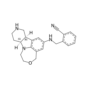 N#Cc1ccccc1CNc1cc2c3c(c1)[C@@H]1CNCC[C@@H]1N3CCOC2